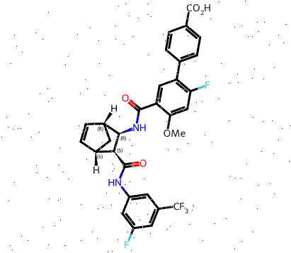 COc1cc(F)c(-c2ccc(C(=O)O)cc2)cc1C(=O)N[C@H]1[C@@H](C(=O)Nc2cc(F)cc(C(F)(F)F)c2)[C@@H]2C=C[C@H]1C2